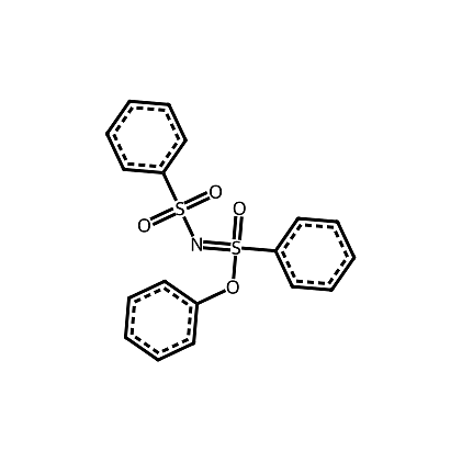 O=S(=O)(N=S(=O)(Oc1ccccc1)c1ccccc1)c1ccccc1